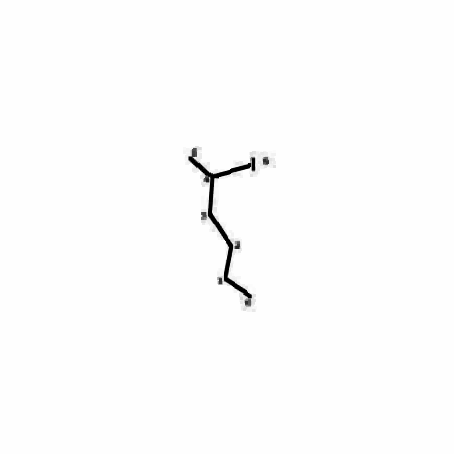 CCCC[C](C)I